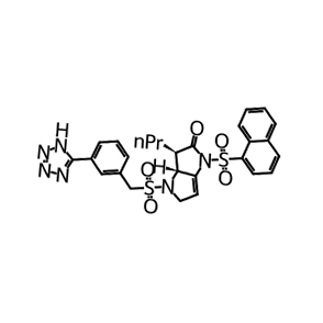 CCC[C@H]1C(=O)N(S(=O)(=O)c2cccc3ccccc23)C2=CCN(S(=O)(=O)Cc3cccc(-c4nnn[nH]4)c3)[C@@H]21